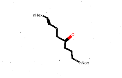 CCCCCCC=CCCC(=O)CCCCCCCCCCCC